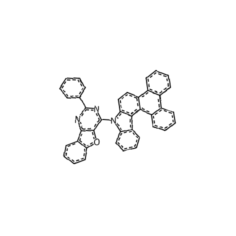 c1ccc(-c2nc(-n3c4ccccc4c4c5c6ccccc6c6ccccc6c5ccc43)c3oc4ccccc4c3n2)cc1